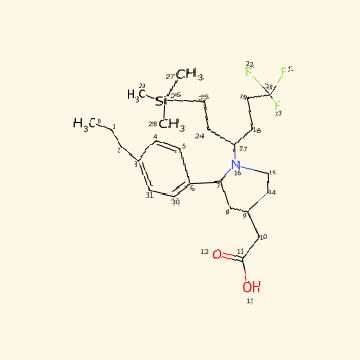 CCCc1ccc(C2CC(CC(=O)O)CCN2C(CCC(F)(F)F)CC[Si](C)(C)C)cc1